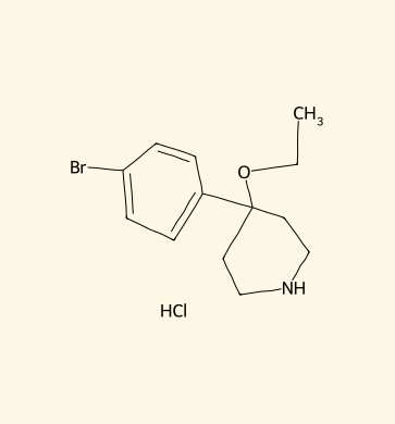 CCOC1(c2ccc(Br)cc2)CCNCC1.Cl